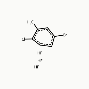 Cc1cc(Br)ccc1Cl.F.F.F